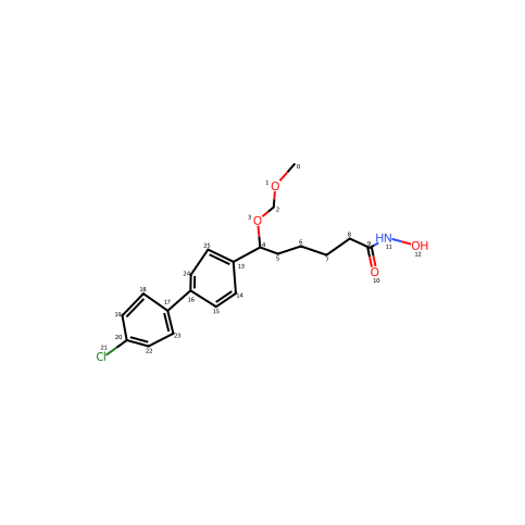 COCOC(CCCCC(=O)NO)c1ccc(-c2ccc(Cl)cc2)cc1